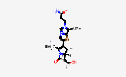 CSc1c2sc(C3=C(C(=O)O)N4C(=O)[C@H]([C@@H](C)O)[C@H]4[C@H]3C)c[n+]2cn1CCC(N)=O.[I-]